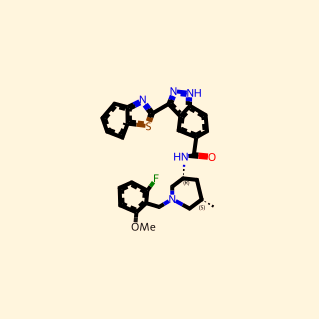 COc1cccc(F)c1CN1C[C@@H](C)C[C@@H](NC(=O)c2ccc3[nH]nc(-c4nc5ccccc5s4)c3c2)C1